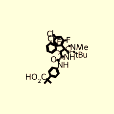 CNC[C@]1(c2ccc(Cl)cc2F)[C@H](CC(C)(C)C)N[C@@H](C(=O)Nc2ccc(C(C)(C)C(=O)O)cc2)[C@@H]1c1cccc(Cl)c1F